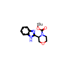 CC(C)(C)OC(=O)N1CCOCC1c1nc2ccccc2[nH]1